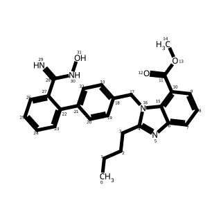 CCCCc1nc2cccc(C(=O)OC)c2n1Cc1ccc(-c2ccccc2C(=N)NO)cc1